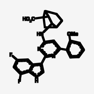 COc1ccccc1-c1cc(NC2C3CCC(CC3)C2C(=O)O)nc(-c2c[nH]c3c(F)cc(F)cc23)n1